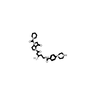 CC(CCNC(=O)c1ccc(N2CCNCC2)cc1)CC(=O)N1CCC2C1C(=O)CN2C(=O)N1CCCCC1